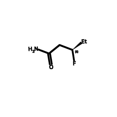 CC[C@H](F)CC(N)=O